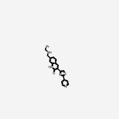 CC(C)CNCc1ccc2cc(-c3csc(-c4ccncc4)n3)c(=O)[nH]c2c1